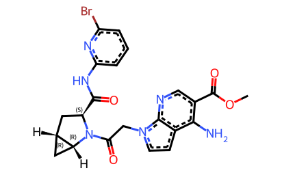 COC(=O)c1cnc2c(ccn2CC(=O)N2[C@@H]3C[C@@H]3C[C@H]2C(=O)Nc2cccc(Br)n2)c1N